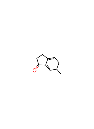 CC1C=C2C(=O)CCC2=CC1